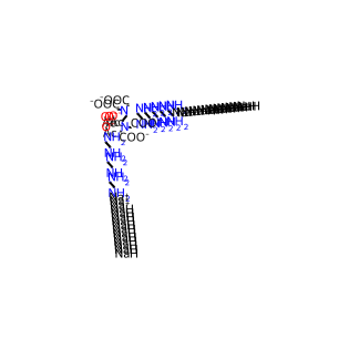 CC(=O)[O-].CC(=O)[O-].CC(=O)[O-].CC(=O)[O-].NCCN.NCCN.NCCN.NCCN.NCCN.NCCN.NCCN.NCCN.O=C([O-])CN(CCN(CC(=O)[O-])CC(=O)[O-])CC(=O)[O-].[Na+].[Na+].[Na+].[Na+].[Na+].[Na+].[Na+].[Na+].[NaH].[NaH].[NaH].[NaH].[NaH].[NaH].[NaH].[NaH].[NaH].[NaH].[NaH].[NaH].[NaH].[NaH].[NaH].[NaH].[NaH].[NaH].[NaH].[NaH].[NaH].[NaH].[NaH].[NaH]